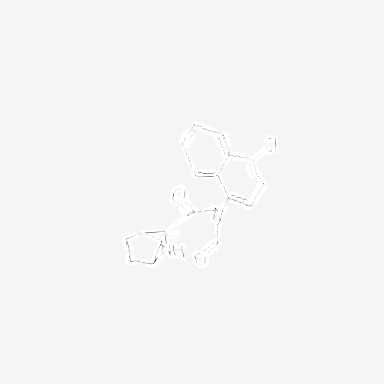 O=CN(C(=O)[C@@H]1NC2CCC1C2)c1ccc(Cl)c2ccccc12